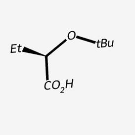 CC[C@@H](OC(C)(C)C)C(=O)O